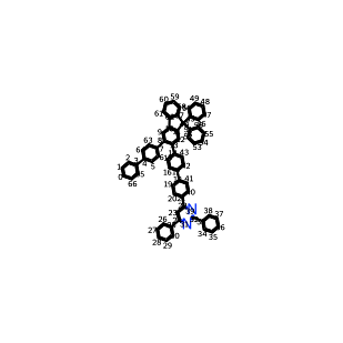 c1ccc(-c2ccc(-c3cc4c(cc3-c3ccc(-c5ccc(-c6cc(-c7ccccc7)nc(-c7ccccc7)n6)cc5)cc3)C(c3ccccc3)(c3ccccc3)c3ccccc3-4)cc2)cc1